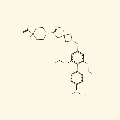 CCOc1cc(CN2CC3(CC(N4CCC(C)(C(=O)O)CC4)=NO3)C2)cc(OCC)c1-c1ccc(N(C)C)cc1